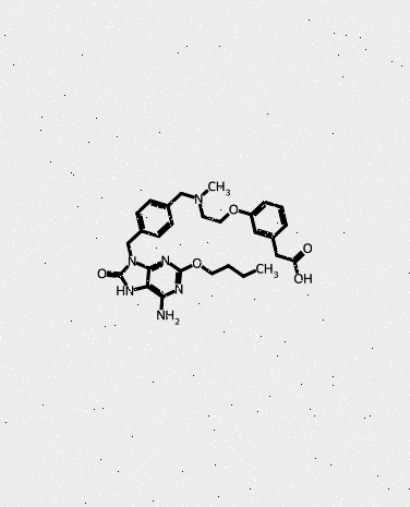 CCCCOc1nc(N)c2[nH]c(=O)n(Cc3ccc(CN(C)CCOc4cccc(CC(=O)O)c4)cc3)c2n1